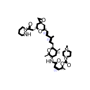 CC(/C=C/[C@@H]1C[C@]2(CO2)C[C@@H](CC(=O)N2CCCCN2)O1)=C\C[C@@H]1O[C@H](C)[C@H](NC(=O)/C=C\[C@H](C)OC(=O)N2CCN(C)CC2)C[C@@H]1C